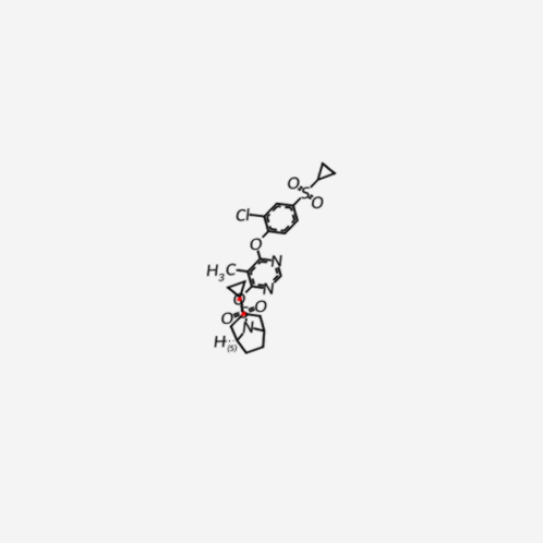 Cc1c(Oc2ccc(S(=O)(=O)C3CC3)cc2Cl)ncnc1OC1CC2CC[C@@H](C1)N2S(=O)(=O)C1CC1